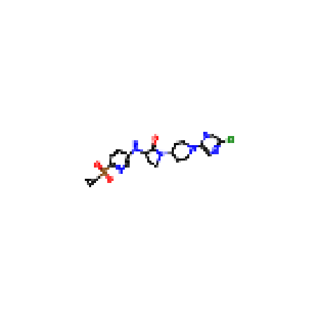 O=C1C(Nc2ccc(S(=O)(=O)C3CC3)nc2)CCN1C1CCN(c2cnc(Cl)cn2)CC1